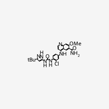 COc1cc2nccc(Nc3ccc(NC(=O)Nc4cc(C(C)(C)C)n[nH]4)c(Cl)c3)c2cc1C(N)=O